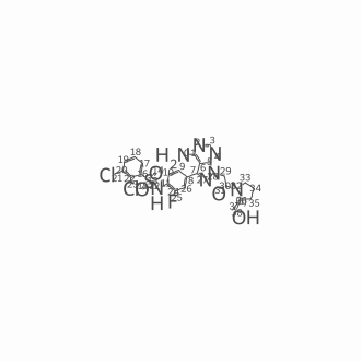 Nc1ncnc2c1c(-c1ccc(NS(=O)(=O)c3cccc(Cl)c3Cl)c(F)c1)nn2CC(=O)N1CCC[C@H]1CO